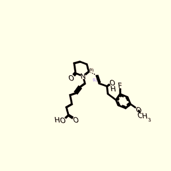 COc1ccc(CC(O)/C=C/[C@H]2CCCC(=O)N2CC#CCCCC(=O)O)c(F)c1